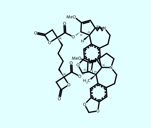 COC1=C[C@]23CCCN2CCc2cc4c(cc2[C@@H]3[C@@H]1OC(=O)[C@@]1(CCCC[C@]2(C(=O)O[C@@H]3C(OC)=C[C@]56CCCN5CCc5cc7c(cc5[C@]36C)OCO7)CC(=O)O2)CC(=O)O1)OCO4